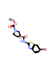 CC(C)(C)OC(=O)N1CC[C@H](C(=O)Nc2nc3ccc(Br)cc3s2)C1